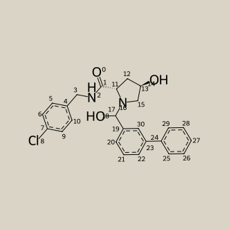 O=C(NCc1ccc(Cl)cc1)[C@@H]1C[C@@H](O)CN1C(O)c1cccc(-c2ccccc2)c1